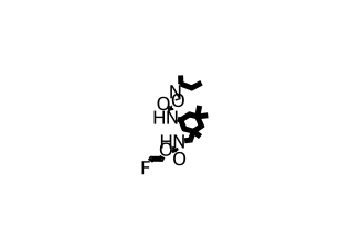 CCC(C)=NOC(=O)NC1CC(C)(C)CC(C)(CNC(=O)OCCF)C1